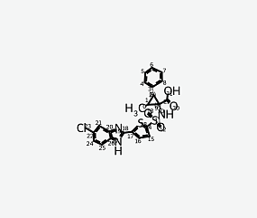 CC1[C@H](c2ccccc2)[C@]1(NS(=O)(=O)c1ccc(-c2nc3cc(Cl)ccc3[nH]2)s1)C(=O)O